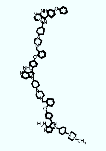 CN1CCN(C2CCC(n3nc(-c4ccc(Oc5ccccc5CN5CCN(C6CCC(n7cc(-c8ccc(Oc9ccccc9CN9CCN(C%10CCC(c%11nc(-c%12ccc(Oc%13ccccc%13)cc%12)c%12c(N)nccn%11%12)CC%10)CC9)cc8)c8c(N)nccc87)CC6)CC5)cc4)c4c(N)nccc43)CC2)CC1